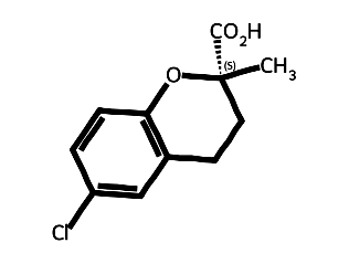 C[C@@]1(C(=O)O)CCc2cc(Cl)ccc2O1